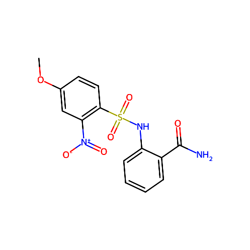 COc1ccc(S(=O)(=O)Nc2ccccc2C(N)=O)c([N+](=O)[O-])c1